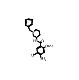 COc1cc(N)c(Cl)cc1C(=O)NC1CCCN(Cc2ccccc2)C1